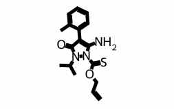 C=CCOC(=S)n1c(N)c(-c2ccccc2C)c(=O)n1C(C)C